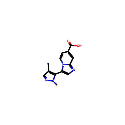 Cc1cnn(C)c1-c1cnc2cc(C(=O)O)ccn12